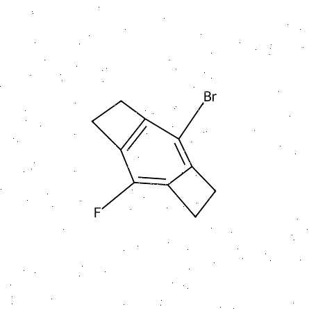 Fc1c2c(c(Br)c3c1CC3)CC2